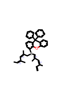 C=C/C(C)=C\C(C)=C\B(C/C(C)=C\C(C)=C/C)c1cccc2c1Oc1ccccc1C2(c1ccccc1)c1ccccc1